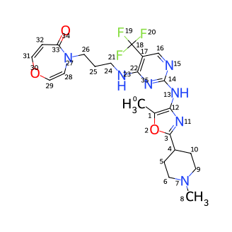 Cc1oc(C2CCN(C)CC2)nc1Nc1ncc(C(F)(F)F)c(NCCCN2C=COC=CC2=O)n1